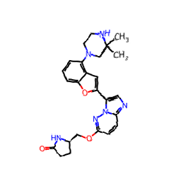 CC1(C)CN(c2cccc3oc(-c4cnc5ccc(OC[C@H]6CCC(=O)N6)nn45)cc23)CCN1